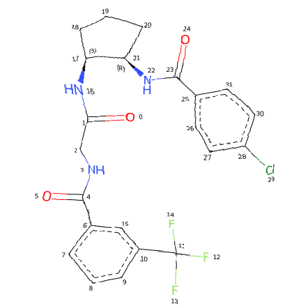 O=C(CNC(=O)c1cccc(C(F)(F)F)c1)N[C@H]1CCC[C@H]1NC(=O)c1ccc(Cl)cc1